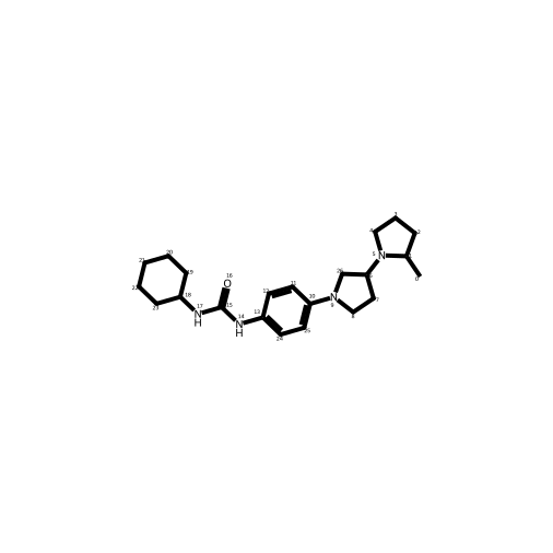 CC1CCCN1C1CCN(c2ccc(NC(=O)NC3CCCCC3)cc2)C1